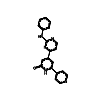 O=c1cc(-c2ccnc(Nc3ccccc3)n2)cc(-c2ccncc2)[nH]1